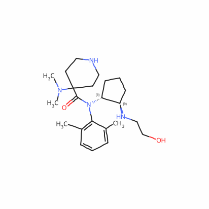 Cc1cccc(C)c1N(C(=O)C1(N(C)C)CCNCC1)[C@@H]1CCC[C@H]1NCCO